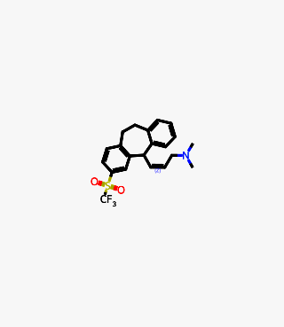 CN(C)C/C=C\C1c2ccccc2CCc2ccc(S(=O)(=O)C(F)(F)F)cc21